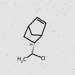 CC(Cl)[C@@H]1CC2C=CC1C2